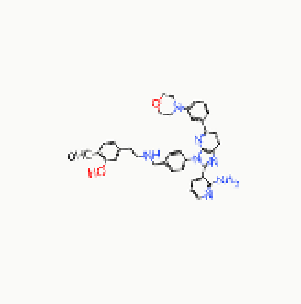 Nc1ncccc1-c1nc2ccc(-c3cccc(N4CCOCC4)c3)nc2n1-c1ccc(CNCCc2ccc(C=O)c(O)c2)cc1